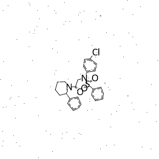 O=C(CN(c1ccc(Cl)cc1)S(=O)(=O)c1ccccc1)N1CCCCC1c1ccccc1